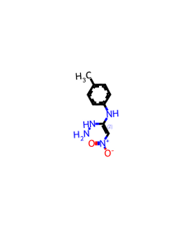 Cc1ccc(N/C(=C/[N+](=O)[O-])NN)cc1